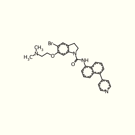 CN(C)CCOc1cc2c(cc1Br)CCN2C(=O)Nc1cccc2c(-c3ccncc3)cccc12